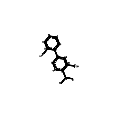 CC(C)c1ncc(-c2ccccc2F)cc1F